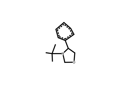 CC(C)(C)N1COCC1c1ccccc1